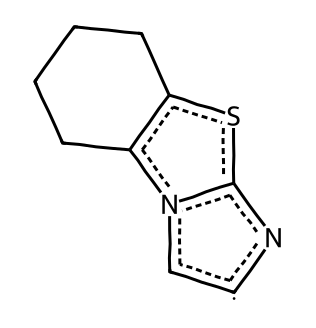 [c]1cn2c3c(sc2n1)CCCC3